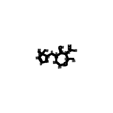 CNC1C(=O)N(CC2=CC=CC2(C)C)CCOC1C